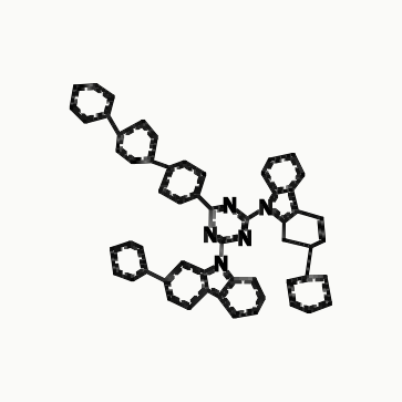 C1=CC(c2ccccc2)Cc2c1c1ccccc1n2-c1nc(-c2ccc(-c3ccc(-c4ccccc4)cc3)cc2)nc(-n2c3ccccc3c3ccc(-c4ccccc4)cc32)n1